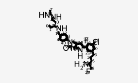 C=C[C@@H](CCNC(C)=N)NCc1ccc(-n2cc3cc(-c4cc(CCC[C@@H](N)CF)cc(Cl)c4F)[nH]c3nc2=O)cc1